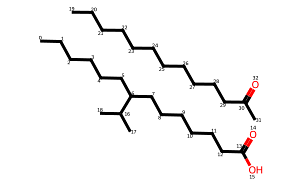 CCCCCCC(CCCCCCC(=O)O)C(C)C.CCCCCCCCCCCC(C)=O